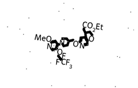 CCOC(=O)CC1CCOc2cnc(OCC3CCN(c4cc(OC)ncc4OCC(F)(F)C(F)(F)F)CC3)cc21